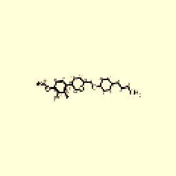 C=CCCC1CCC(OCC2CCC(c3ccc(OCCCC)c(F)c3F)CO2)CC1